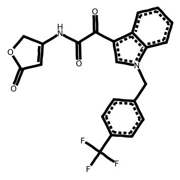 O=C1C=C(NC(=O)C(=O)c2cn(Cc3ccc(C(F)(F)F)cc3)c3ccccc23)CO1